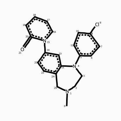 CN1CCN(c2ccc(Cl)cc2)c2cc(-n3ccccc3=O)ccc2C1